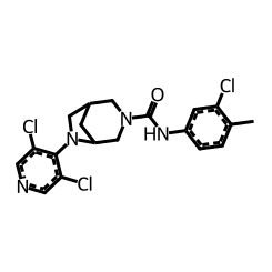 Cc1ccc(NC(=O)N2CC3CC(C2)N(c2c(Cl)cncc2Cl)C3)cc1Cl